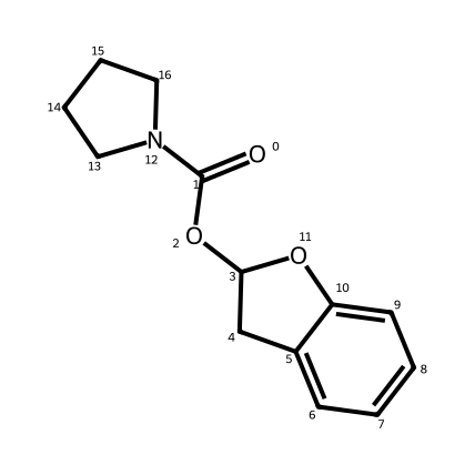 O=C(OC1Cc2ccccc2O1)N1CCCC1